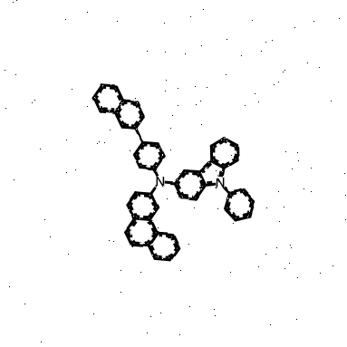 c1ccc(-n2c3ccccc3c3cc(N(c4ccc(-c5ccc6ccccc6c5)cc4)c4ccc5ccc6ccccc6c5c4)ccc32)cc1